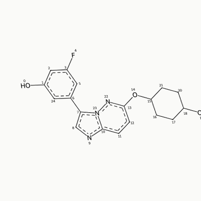 Oc1cc(F)cc(-c2cnc3ccc(OC4CCC(O)CC4)nn23)c1